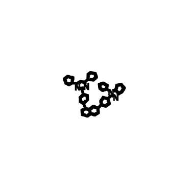 c1ccc(-c2cc(-c3ccccc3)nc(-c3ccc(-c4cccc5ccc(-c6ccc(-c7nc8ccccc8n7-c7ccccc7)cc6)cc45)cc3)n2)cc1